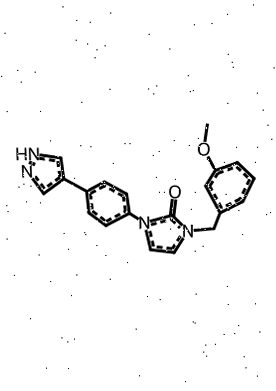 COc1cccc(Cn2ccn(-c3ccc(-c4cn[nH]c4)cc3)c2=O)c1